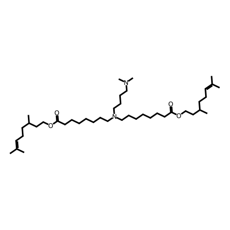 CC(C)=CCCC(C)CCOC(=O)CCCCCCCN(CCCCCCCC(=O)OCCC(C)CCC=C(C)C)CCCCN(C)C